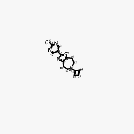 Clc1ncc(-c2nc3c(s2)CCN(C2=CC=C2)CC3)cn1